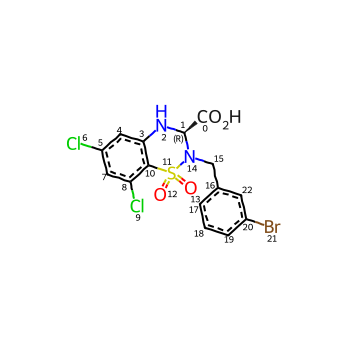 O=C(O)[C@@H]1Nc2cc(Cl)cc(Cl)c2S(=O)(=O)N1Cc1cccc(Br)c1